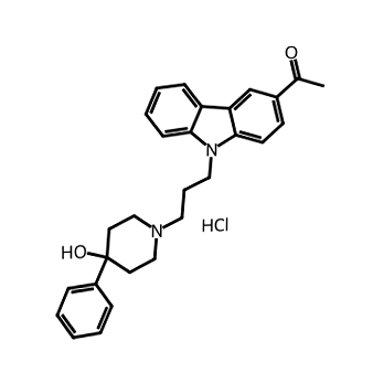 CC(=O)c1ccc2c(c1)c1ccccc1n2CCCN1CCC(O)(c2ccccc2)CC1.Cl